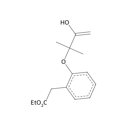 C=C(O)C(C)(C)Oc1ccccc1CC(=O)OCC